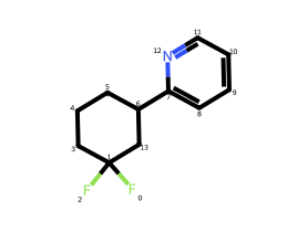 FC1(F)CC[CH]C(c2ccccn2)C1